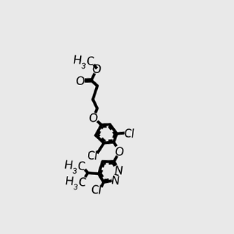 COC(=O)CCCOc1cc(Cl)c(Oc2cc(C(C)C)c(Cl)nn2)c(Cl)c1